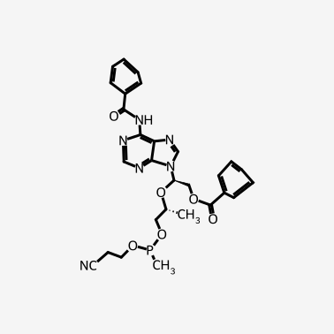 C[C@H](COP(C)OCCC#N)O[C@H](COC(=O)c1ccccc1)n1cnc2c(NC(=O)c3ccccc3)ncnc21